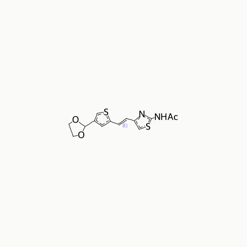 CC(=O)Nc1nc(/C=C/c2cc(C3OCCO3)cs2)cs1